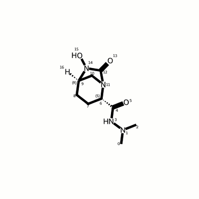 CN(C)NC(=O)[C@@H]1CC[C@@H]2CN1C(=O)N2O